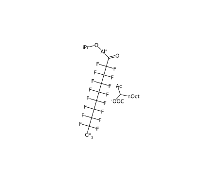 CC(C)[O][Al+][C](=O)C(F)(F)C(F)(F)C(F)(F)C(F)(F)C(F)(F)C(F)(F)C(F)(F)C(F)(F)C(F)(F)F.CCCCCCCCC(C(C)=O)C(=O)[O-]